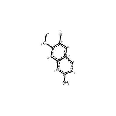 COc1nc2nc(N)ncc2cc1Br